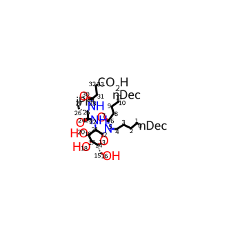 CCCCCCCCCCCCCCN(C(=O)CCCCCCCCCCCCC)[C@@H]1O[C@H](CO)[C@@H](O)[C@H](O)[C@H]1NC(=O)[C@H](CC(C)C)NC(=O)CCC(=O)O